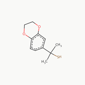 CC(C)(S)c1ccc2c(c1)OCCO2